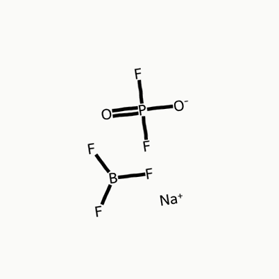 FB(F)F.O=P([O-])(F)F.[Na+]